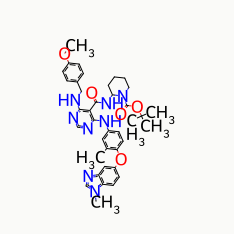 COc1ccc(CNc2ncnc(Nc3ccc(Oc4ccc5c(c4)ncn5C)c(C)c3)c2C(=O)NC2CCCCN2C(=O)OC(C)(C)C)cc1